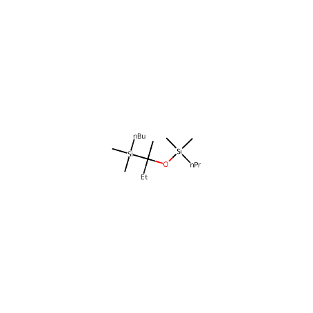 CCCC[Si](C)(C)C(C)(CC)O[Si](C)(C)CCC